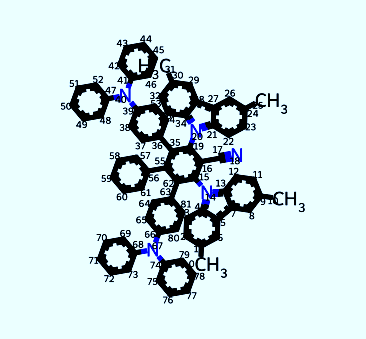 Cc1ccc2c(c1)c1cc(C)ccc1n2-c1c(C#N)c(-n2c3ccc(C)cc3c3cc(C)ccc32)c(-c2ccc(N(c3ccccc3)c3ccccc3)cc2)c(-c2ccccc2)c1-c1ccc(N(c2ccccc2)c2ccccc2)cc1